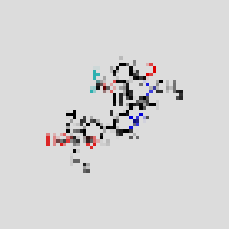 CN1C(=O)c2cccc(OC(F)F)c2[C@H]2C[C@@H]1c1nn3ccc(C4=CC[C@@H](C(C)(C)O)OC4)cc3c12